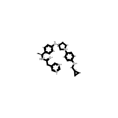 C[C@H](NC(=O)Cc1cncnc1)c1ccc(O[C@@H]2CCN(c3ccc(OCC4CC4)cc3)C2)cc1